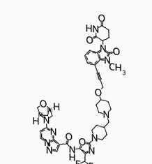 Cn1c(=O)n(C2CCC(=O)NC2=O)c2cccc(C#CCOC3CCN(CC4CCN(c5nc(C(F)F)c(NC(=O)c6cnn7ccc(N8C[C@H]9C[C@@H]8CO9)nc67)o5)CC4)CC3)c21